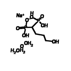 O.O.O.O=P([O-])(O)C(CCCO)P(=O)(O)O.[Na+]